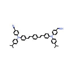 CC(C)c1ccc(N(c2ccc(C#N)cc2)c2ccc(/C=C/c3ccc(/C=C/c4ccc(N(c5ccc(C=N)cc5)c5ccc(C(C)C)cc5)cc4)cc3)cc2)cc1